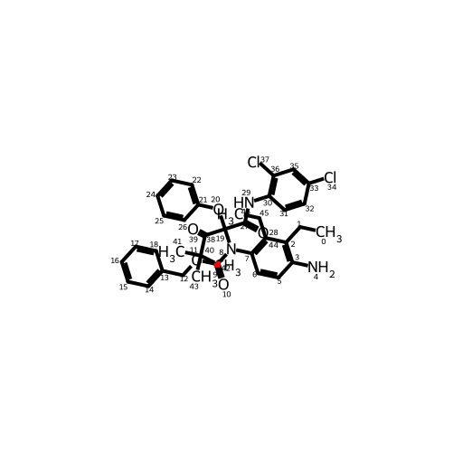 CCc1c(N)ccc(N(C(=O)OCc2ccccc2)C(Oc2ccccc2)(C(=O)Nc2ccc(Cl)cc2Cl)C(=O)C(C)(C)C)c1CC